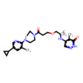 C[C@@H](COCCC(=O)N1CCN(c2ncc(C3CC3)cc2C(F)(F)F)CC1)Nc1cn[nH]c(=O)c1C(F)(F)F